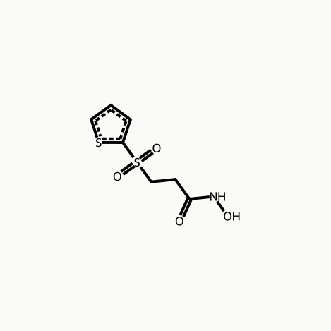 O=C(CCS(=O)(=O)c1cccs1)NO